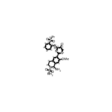 COc1cc2c(cc1-c1ncc(Cl)c(Nc3ccccc3S(=O)(=O)C(C)C)n1)CCN(S(N)(=O)=O)C2N